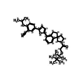 CC(C)Oc1ccc(-c2ncc(-c3cccc4c3CCC43CCN(C(=O)CO[Si](C)(C)C(C)(C)C)C3)o2)cc1C#N